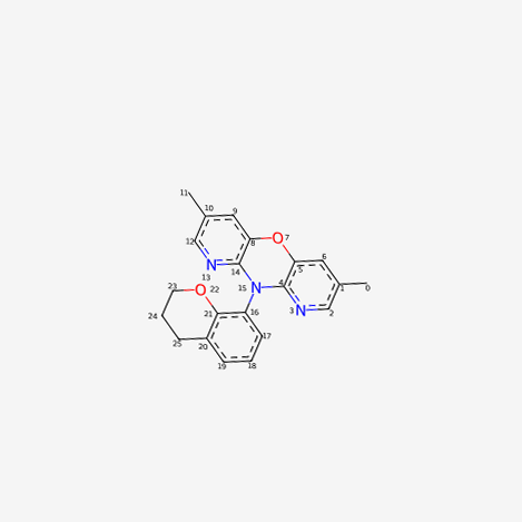 Cc1cnc2c(c1)Oc1cc(C)cnc1N2c1cccc2c1OCCC2